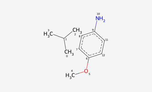 CC(C)C.COc1ccc(N)cc1